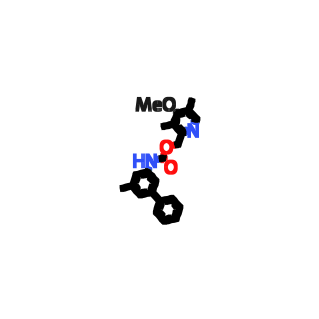 COc1c(C)cnc(COC(=O)Nc2cc(C)cc(-c3ccccc3)c2)c1C